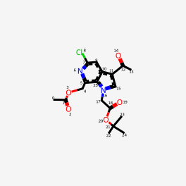 CC(=O)OCc1nc(Cl)cc2c(C(C)=O)cn(CC(=O)OC(C)(C)C)c12